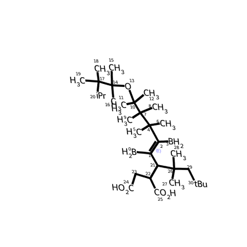 B/C(=C(/B)C(C)(C)C(C)(C)C(C)(C)OC(C)(C)C(C)(C)C(C)C)C(C(CC(=O)O)C(=O)O)C(C)(C)CC(C)(C)C